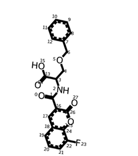 O=C(NC(COCc1ccccc1)C(=O)O)c1cc2cccc(F)c2oc1=O